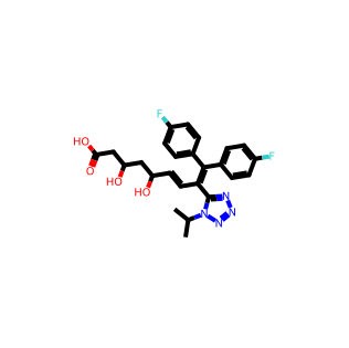 CC(C)n1nnnc1C(C=CC(O)CC(O)CC(=O)O)=C(c1ccc(F)cc1)c1ccc(F)cc1